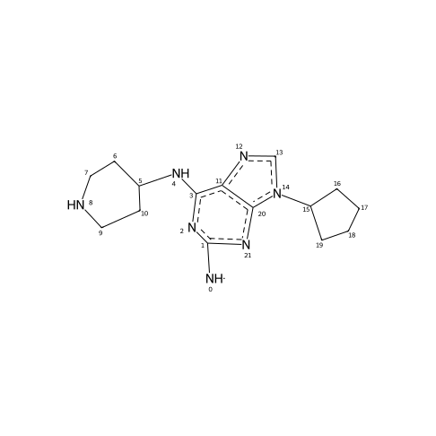 [NH]c1nc(NC2CCNCC2)c2ncn(C3CCCC3)c2n1